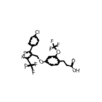 O=C(O)CCc1ccc(OCc2c(C(F)(F)F)nsc2-c2ccc(Cl)cc2)cc1OC(F)(F)F